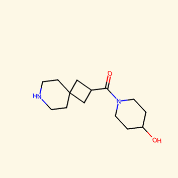 O=C(C1CC2(CCNCC2)C1)N1CCC(O)CC1